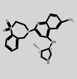 Cc1ccc2nc(N3CCS(=O)(=O)c4ccccc4C3)cc(N[C@H]3CNC[C@@H]3F)c2c1